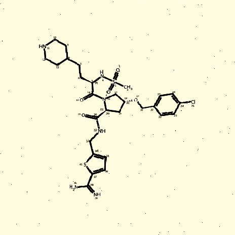 CS(=O)(=O)N[C@H](CCC1CCNCC1)C(=O)N1C[C@H](OCc2ccc(Cl)cc2)C[C@H]1C(=O)NCc1ccc(C(=N)N)s1